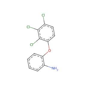 Nc1ccccc1Oc1ccc(Cl)c(Cl)c1Cl